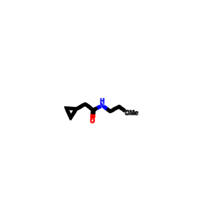 COCCNC(=O)CC1CC1